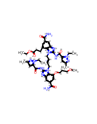 CCOC(=O)CCc1cc(C(N)=O)cc2nc(NC(=O)c3cc(C)nn3CC)n(C/C=C/Cn3c(NC(=O)c4cc(C)nn4CC)nc4cc(C(N)=O)cc(OCCCOC)c43)c12